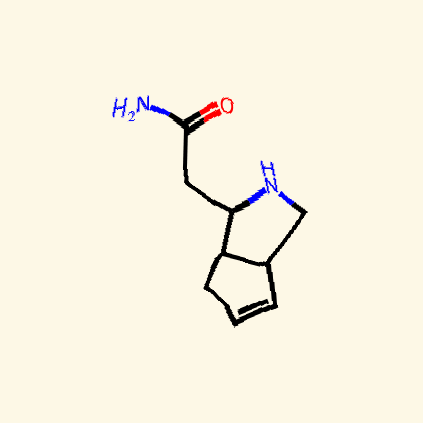 NC(=O)CC1NCC2C=CCC21